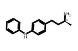 C[C@H](N)CCc1ccc(Nc2ccccc2)cc1